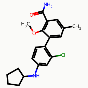 COc1c(C(N)=O)cc(C)cc1-c1ccc(NC2CCCC2)cc1Cl